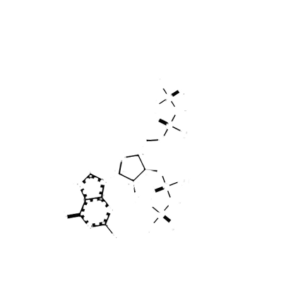 Nc1nc2c(ncn2[C@@H]2O[C@H](COP(=O)(O)OP(=O)(O)O)[C@@H](OP(=O)(O)OP(=O)(O)O)[C@H]2O)c(=O)[nH]1